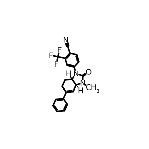 CN1C(=O)N(c2ccc(C#N)c(C(F)(F)F)c2)[C@H]2CCC(c3ccccc3)=C[C@@H]21